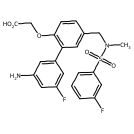 CN(Cc1ccc(OCC(=O)O)c(-c2cc(N)cc(F)c2)c1)S(=O)(=O)c1cccc(F)c1